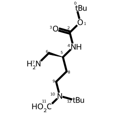 CC(C)(C)OC(=O)N[C@H](CN)CCN(C(=O)O)C(C)(C)C